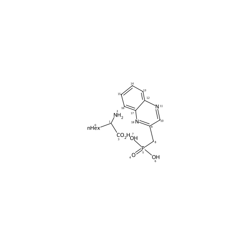 CCCCCCC(N)C(=O)O.O=P(O)(O)Cc1cnc2ccccc2n1